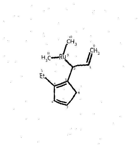 C=C[CH](C1=C(CC)C=CC1)[Ru]([CH3])[CH3]